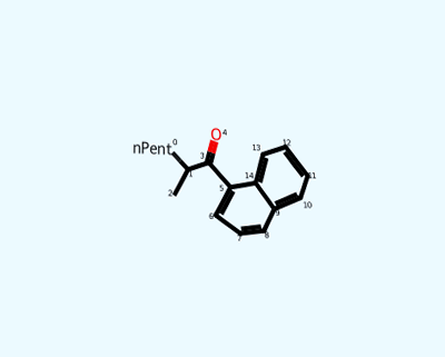 CCCCCC(C)C(=O)c1cccc2ccccc12